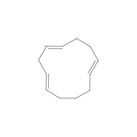 [C]1=C/CC/C=C/CCC/C=C/C/1